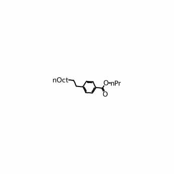 CCCCCCCCCCc1ccc(C(=O)OCCC)cc1